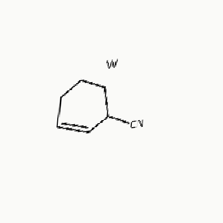 N#CC1C=CCCC1.[W]